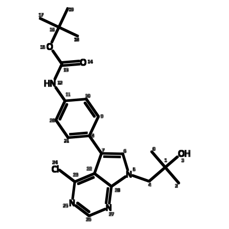 CC(C)(O)Cn1cc(-c2ccc(NC(=O)OC(C)(C)C)cc2)c2c(Cl)ncnc21